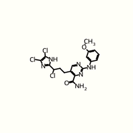 COc1cccc(Nc2ncc(CCC(Cl)c3nc(Cl)c(Cl)[nH]3)c(C(N)=O)n2)c1